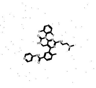 Cc1ccc(C(=O)Nc2ccncc2)cc1-c1nc(NCCN(C)C)nc2c1CNC(=O)N2c1c(F)cccc1F